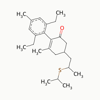 CCc1cc(C)cc(CC)c1C1=C(C)CC(CC(C)SC(C)C)CC1=O